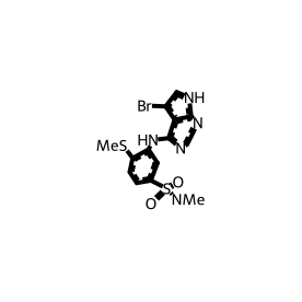 CNS(=O)(=O)c1ccc(SC)c(Nc2ncnc3[nH]cc(Br)c23)c1